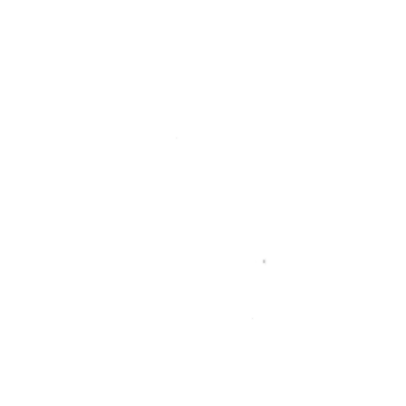 CCCCCCCCC=C(O)CP